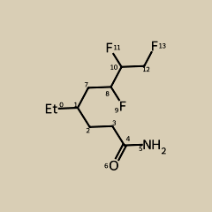 CCC(CCC(N)=O)CC(F)C(F)CF